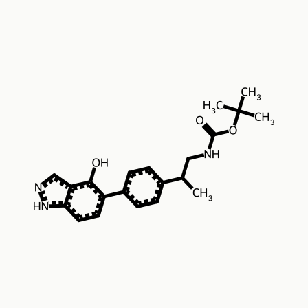 CC(CNC(=O)OC(C)(C)C)c1ccc(-c2ccc3[nH]ncc3c2O)cc1